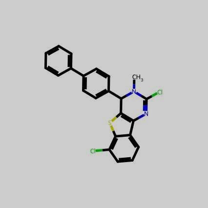 CN1C(Cl)=Nc2c(sc3c(Cl)cccc23)C1c1ccc(-c2ccccc2)cc1